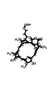 CC[C@H]1c2cc3[nH]c4c(c5nc(cc6[nH]c(cc(n2)[C@@H]1C)c(C(C)=O)c6C)C(C)=C5CCCOOC)C(=O)OC(=O)c4c3C